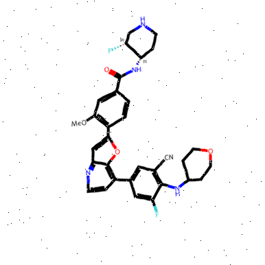 COc1cc(C(=O)N[C@H]2CCNC[C@H]2F)ccc1-c1cc2nccc(-c3cc(F)c(NC4CCOCC4)c(C#N)c3)c2o1